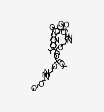 CCC(COCCc1cn(CCOCCOC)nn1)(COCC(CC)(COCCc1cn(CO[C@]2(CC)C(=O)OCc3c2cc2n(c3=O)Cc3cc4ccccc4nc3-2)nn1)CC(C)C)COC(C)C